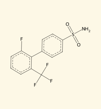 NS(=O)(=O)c1ccc(-c2c(F)cccc2C(F)(F)F)cc1